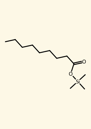 CCCCCCCCC(=O)O[Si](C)(C)C